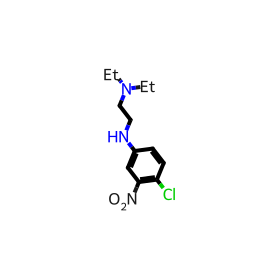 CCN(CC)CCNc1ccc(Cl)c([N+](=O)[O-])c1